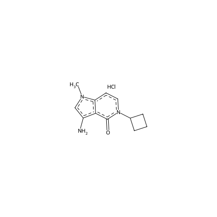 Cl.Cn1cc(N)c2c(=O)n(C3CCC3)ccc21